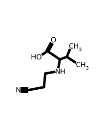 CC(C)C(NCCC#N)C(=O)O